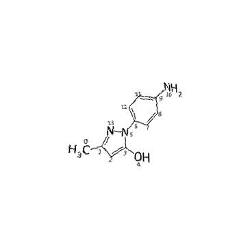 Cc1cc(O)n(-c2ccc(N)cc2)n1